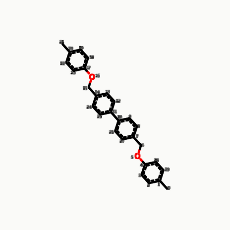 Cc1ccc(OCc2ccc(-c3ccc(COc4ccc(C)cc4)cc3)cc2)cc1